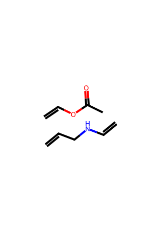 C=CCNC=C.C=COC(C)=O